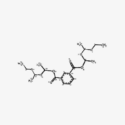 CCOC(C)OC(C)OC(=O)c1cccc(C(=O)OC(C)OC(C)OCC)c1